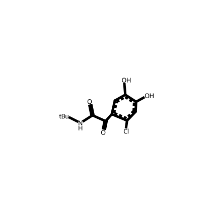 CC(C)(C)NC(=O)C(=O)c1cc(O)c(O)cc1Cl